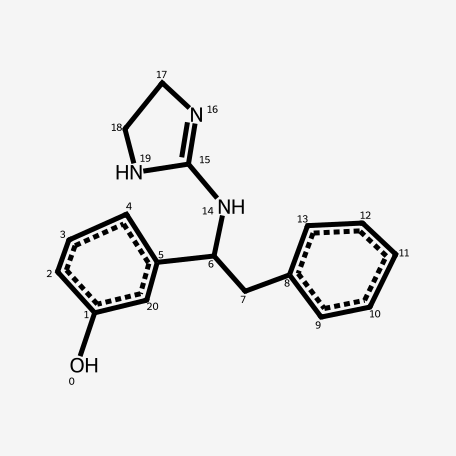 Oc1cccc(C(Cc2ccccc2)NC2=NCCN2)c1